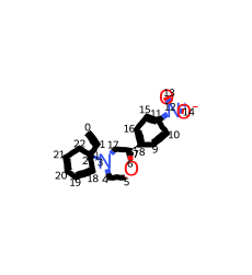 C=C[C@]1(N2CCO[C@@H](c3ccc([N+](=O)[O-])cc3)C2)C=CC=CC1